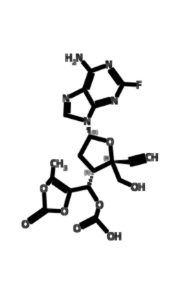 C#C[C@]1(CO)O[C@@H](n2cnc3c(N)nc(F)nc32)C[C@H]1C(OC(=O)O)c1oc(=O)oc1C